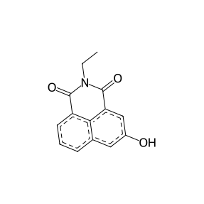 CCN1C(=O)c2cccc3cc(O)cc(c23)C1=O